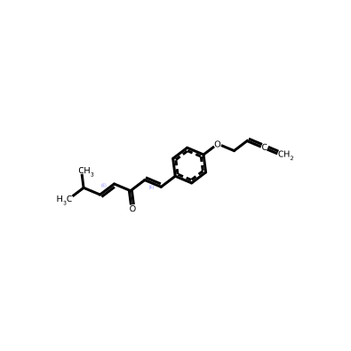 C=C=CCOc1ccc(/C=C/C(=O)/C=C/C(C)C)cc1